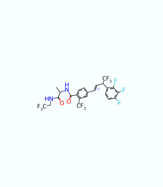 CC(NC(=O)c1ccc(/C=C/C(c2ccc(F)c(F)c2F)C(F)(F)F)cc1C(F)(F)F)C(=O)NCC(F)(F)F